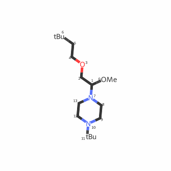 COC(COCCC(C)(C)C)N1CCN(C(C)(C)C)CC1